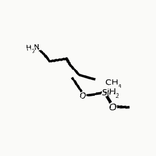 C.CCCCN.CO[SiH2]OC